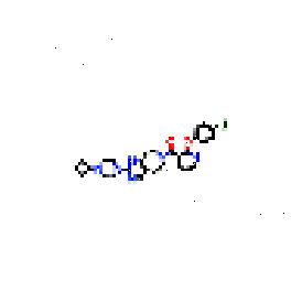 O=C(c1cccnc1Oc1ccc(Cl)cc1)N1CCc2cnc(N3CCN(C4CCC4)CC3)nc2CC1